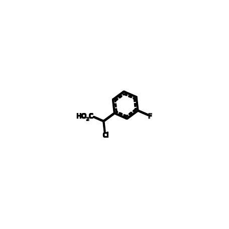 O=C(O)C(Cl)c1cccc(F)c1